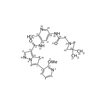 COc1ncccc1-c1cn2ncc(C(=O)Nc3cc(NC(=O)CN4CC(C)(C)C4)cnc3C)c2s1